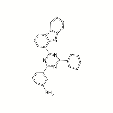 Bc1cccc(-c2nc(-c3ccccc3)nc(-c3cccc4c3sc3ccccc34)n2)c1